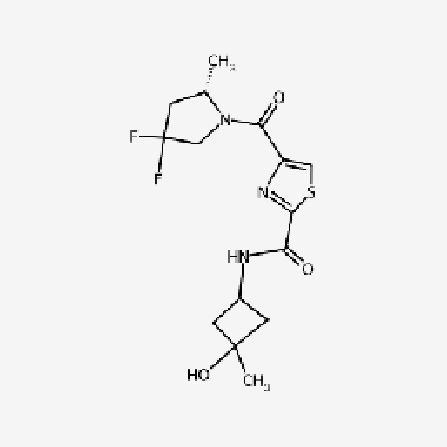 C[C@H]1CC(F)(F)CN1C(=O)c1csc(C(=O)NC2CC(C)(O)C2)n1